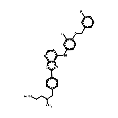 CC(=O)NCCN(C)Cc1ccc(-c2nc3c(Nc4ccc(OCc5cccc(F)c5)c(Cl)c4)ncnc3s2)cc1